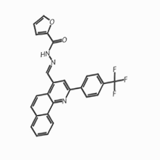 O=C(N/N=C/c1cc(-c2ccc(C(F)(F)F)cc2)nc2c1ccc1ccccc12)c1ccco1